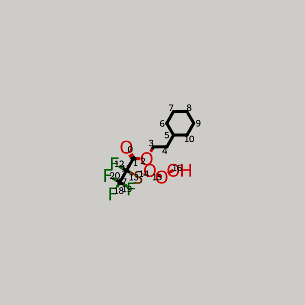 O=C(OCCC1CCCCC1)C(F)(SOOO)C(F)(F)F